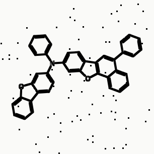 c1ccc(-c2cc3c4ccc(N(c5ccccc5)c5ccc6c(c5)oc5ccccc56)cc4oc3c3ccccc23)cc1